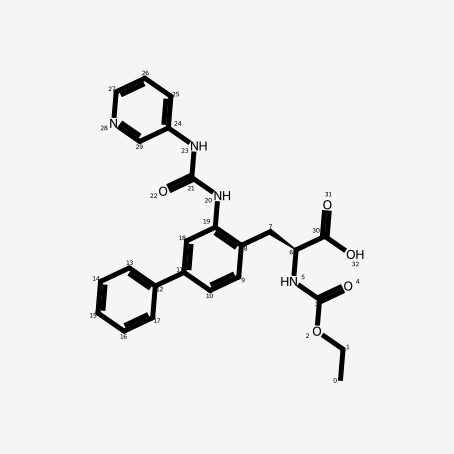 CCOC(=O)N[C@@H](Cc1ccc(-c2ccccc2)cc1NC(=O)Nc1cccnc1)C(=O)O